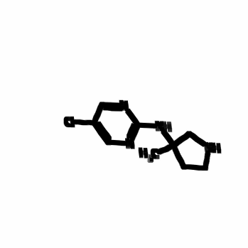 CC1(Nc2ncc(Cl)cn2)CCNC1